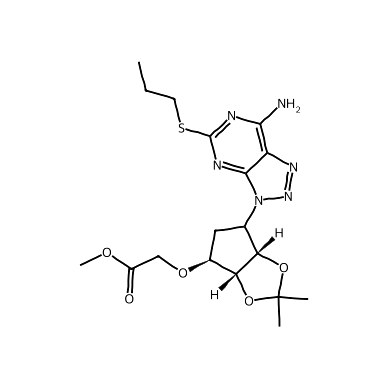 CCCSc1nc(N)c2nnn(C3C[C@H](OCC(=O)OC)[C@H]4OC(C)(C)O[C@@H]34)c2n1